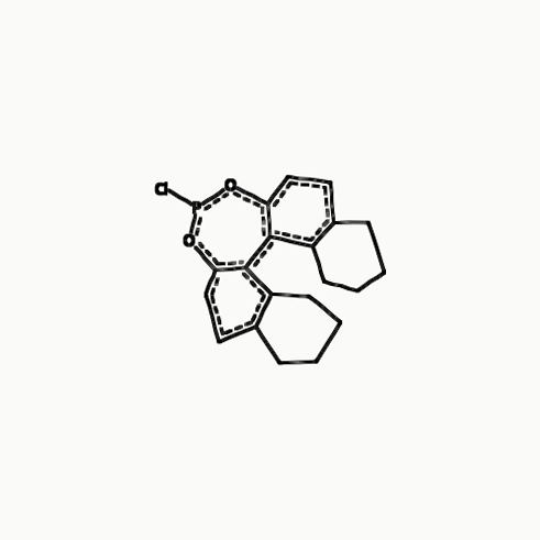 Clp1oc2ccc3c(c2c2c4c(ccc2o1)CCCC4)CCCC3